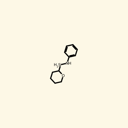 c1ccc(N[SiH2]C2CCCCO2)cc1